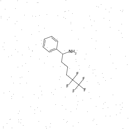 NC(CCCC(F)(F)C(F)(F)F)c1ccccc1